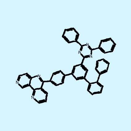 c1ccc(-c2nc(-c3ccccc3)nc(-c3cc(-c4ccc(-c5nc6ccncc6c6ncccc56)cc4)cc(-c4ccccc4-c4ccccc4)c3)n2)cc1